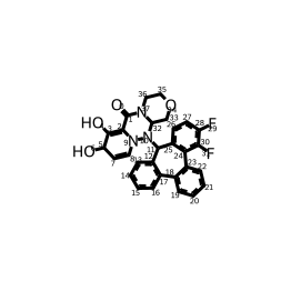 O=C1C2=C(O)C(O)C=CN2N(C2c3ccccc3-c3ccccc3-c3c2ccc(F)c3F)C2COCCN12